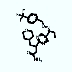 CCC(=NOCc1ccc(C(F)(F)F)cc1)c1cnc(C(CC(N)=O)CC2CCOCC2)nc1